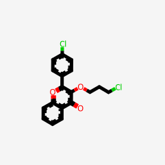 O=c1c(OCCCCl)c(-c2ccc(Cl)cc2)oc2ccccc12